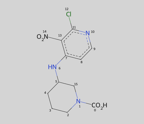 O=C(O)N1CCCC(Nc2ccnc(Cl)c2[N+](=O)[O-])C1